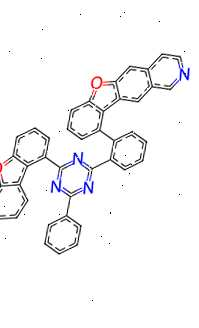 c1ccc(-c2nc(-c3ccccc3-c3cccc4oc5cc6ccncc6cc5c34)nc(-c3cccc4oc5ccccc5c34)n2)cc1